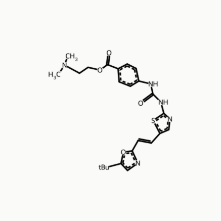 CN(C)CCOC(=O)c1ccc(NC(=O)Nc2ncc(C=Cc3ncc(C(C)(C)C)o3)s2)cc1